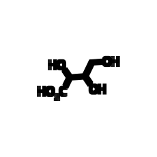 O=C(O)C(O)C(O)CO